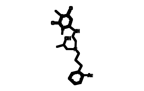 CC(=O)c1ccccc1CCCN(CCNc1cc(=O)n(C)c(=O)n1C)CC(C)O